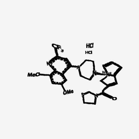 COc1cc(OC)c2nc(C(F)(F)F)cc(N3CCN([N@@+]45C=CC=C4C=C(C(=O)N4CCSC4)C5)CC3)c2c1.Cl.Cl